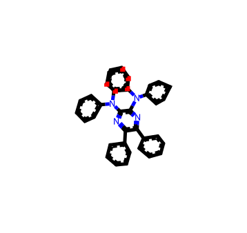 c1ccc(-c2nc(N(c3ccccc3)c3ccccc3)c(N(c3ccccc3)c3ccccc3)nc2-c2ccccc2)cc1